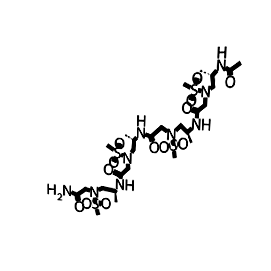 CC(=O)N[C@@H](C)CN(CC(=O)N[C@@H](C)CN(CC(=O)N[C@@H](C)CN(CC(=O)N[C@@H](C)CN(CC(N)=O)S(C)(=O)=O)S(C)(=O)=O)S(C)(=O)=O)S(C)(=O)=O